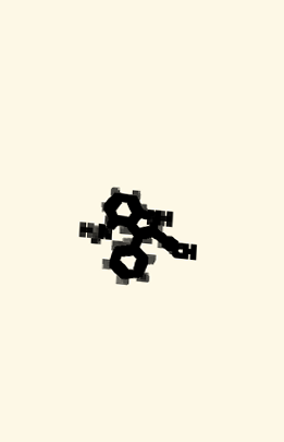 C#Cc1[nH]c2cccc(N)c2c1-c1ccccc1